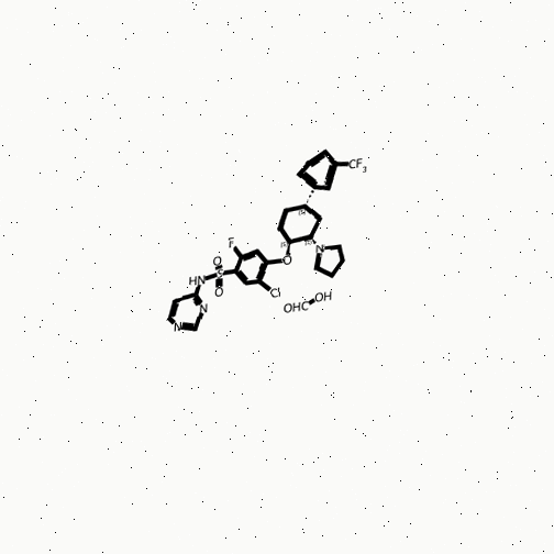 O=CO.O=S(=O)(Nc1ccncn1)c1cc(Cl)c(O[C@H]2CC[C@H](c3cccc(C(F)(F)F)c3)C[C@@H]2N2CCCC2)cc1F